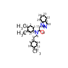 Cc1ccc(N(CCc2ccc(C(F)(F)F)cc2)C(=O)Cn2ncc3ccccc32)cc1C